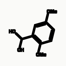 COc1ccc(OC)c(C(O)O)c1